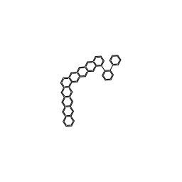 c1ccc(-c2ccccc2-c2cccc3cc4cc5cc6ccc7cc8cc9cc%10ccccc%10cc9cc8cc7c6cc5cc4cc23)cc1